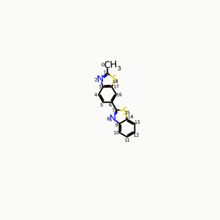 Cc1nc2ccc(-c3nc4ccccc4s3)cc2s1